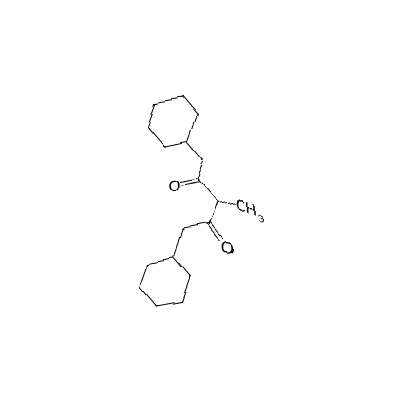 CC(C(=O)CC1CCCCC1)C(=O)CC1CCCCC1